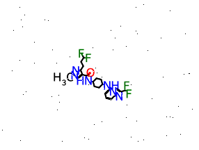 Cn1cc(C(=O)NC2CCC(Nc3cccc4nc(C(F)F)cn34)CC2)c(CCC(F)F)n1